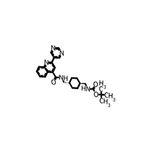 CC(C)(C)OC(=O)NC[C@H]1CC[C@H](CNC(=O)c2cc(-c3cncnc3)nc3ccccc23)CC1